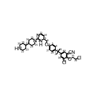 CC(C)(c1ccc(OCC2C=CN=C(N3CCC(C4CCNCC4)CC3)N2)cc1)c1cc(Cl)c(OCCCl)c(C#N)c1